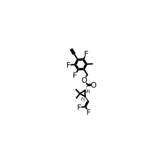 C#Cc1c(F)c(C)c(COC(=O)[C@@H]2[C@@H](C=C(F)F)C2(C)C)c(F)c1F